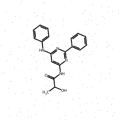 CC(O)C(=O)Nc1cc(Nc2ccccc2)nc(-c2ccccc2)n1